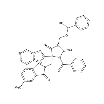 COc1ccc2c(c1)C(=O)N(C[C@]1(c3cc4cnccc4o3)C(=O)N(COC(O)c3ccccc3)C(=O)N1C(=O)c1ccccc1)C2